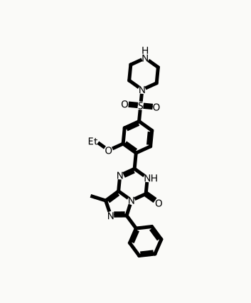 CCOc1cc(S(=O)(=O)N2CCNCC2)ccc1-c1nc2c(C)nc(-c3ccccc3)n2c(=O)[nH]1